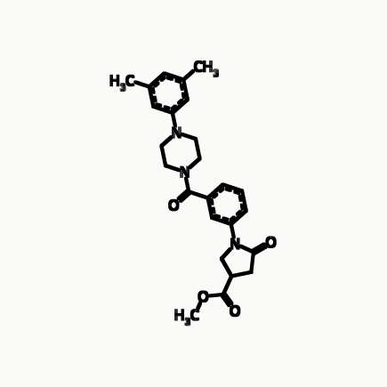 COC(=O)C1CC(=O)N(c2cccc(C(=O)N3CCN(c4cc(C)cc(C)c4)CC3)c2)C1